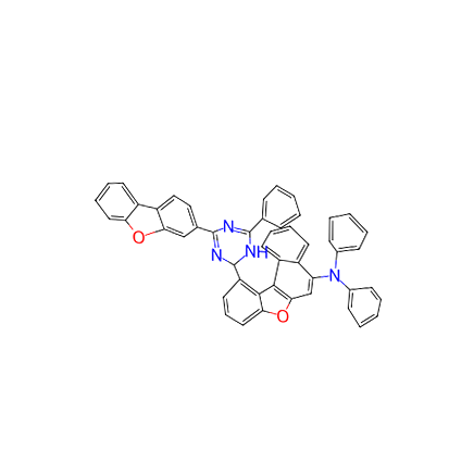 c1ccc(C2=NC(c3ccc4c(c3)oc3ccccc34)=NC(c3cccc4oc5cc(N(c6ccccc6)c6ccccc6)c6ccccc6c5c34)N2)cc1